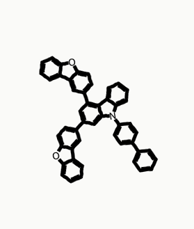 c1ccc(-c2ccc(-n3c4ccccc4c4c(-c5ccc6oc7ccccc7c6c5)cc(-c5ccc6oc7ccccc7c6c5)cc43)cc2)cc1